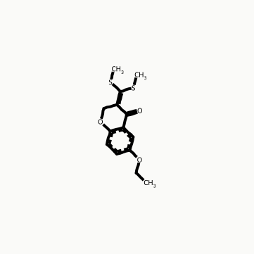 CCOc1ccc2c(c1)C(=O)C(=C(SC)SC)CO2